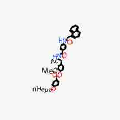 CCCCCCCOc1ccc(C(=O)Oc2ccc(CC(NC(=O)c3ccc(NC(=O)Cc4cccc5ccccc45)cc3)C(C)=O)cc2OC)cc1